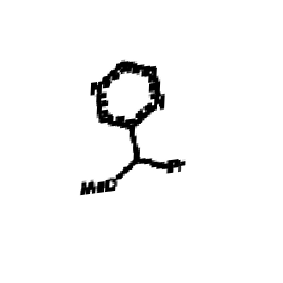 COC(c1cnccn1)C(C)C